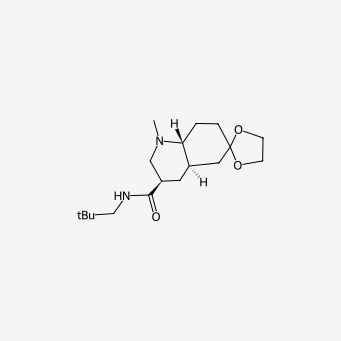 CN1C[C@H](C(=O)NCC(C)(C)C)C[C@@H]2CC3(CC[C@H]21)OCCO3